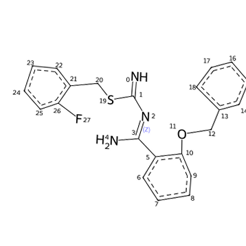 N=C(/N=C(\N)c1ccccc1OCc1ccccc1)SCc1ccccc1F